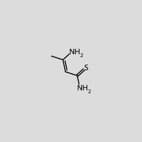 CC(N)=CC(N)=S